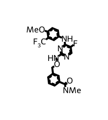 CNC(=O)c1cccc(CONc2ncc(F)c(Nc3ccc(OC)c(C(F)(F)F)c3)n2)c1